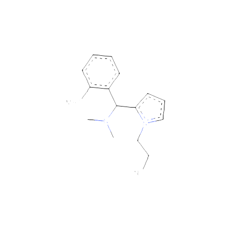 COc1ccccc1C(c1cccn1CCC#N)N(C)C